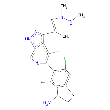 CNN(C)/C=C(\C)c1n[nH]c2cnc(-c3c(F)cc4c(c3F)C(N)CC4)c(F)c12